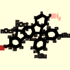 BC1=CC2C(C=C1)c1cc3c(cc1C2(c1ccc(C(C)(C)C)cc1)c1ccc(C(C)(C)C)cc1)-c1ccc(Br)cc1C3(CCCCCCCC)CCCCCCCC